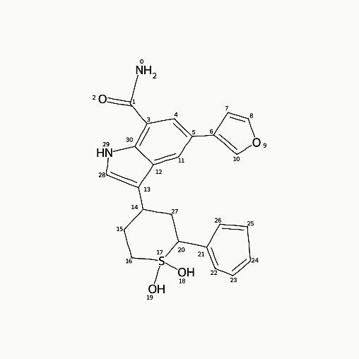 NC(=O)c1cc(-c2ccoc2)cc2c(C3CCS(O)(O)C(c4ccccc4)C3)c[nH]c12